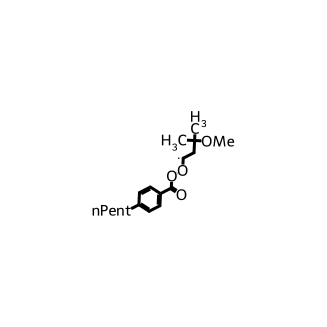 CCCCCc1ccc(C(=O)OO[CH]CC(C)(C)OC)cc1